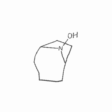 ON1C2CCCC1CC2